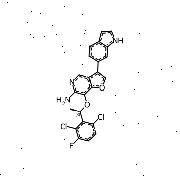 C[C@@H](Oc1c(N)ncc2c(-c3ccc4cc[nH]c4c3)coc12)c1c(Cl)ccc(F)c1Cl